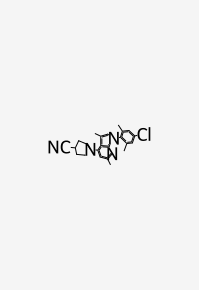 Cc1cc(N2CCC(C#N)CC2)c2c(C)cn(-c3c(C)cc(Cl)cc3C)c2n1